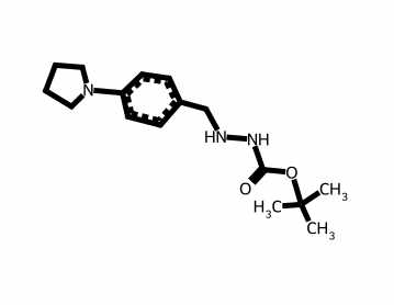 CC(C)(C)OC(=O)NNCc1ccc(N2CCCC2)cc1